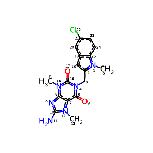 Cn1c(Cn2c(=O)c3c(nc(N)n3C)n(C)c2=O)cc2cc(Cl)ccc21